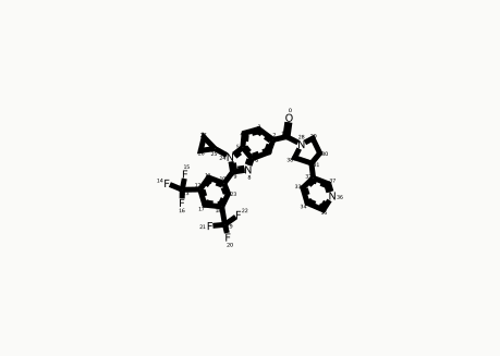 O=C(c1ccc2c(c1)nc(-c1cc(C(F)(F)F)cc(C(F)(F)F)c1)n2C1CC1)N1CCC(c2cccnc2)C1